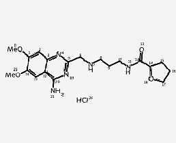 COc1cc2nc(CNCCCNC(=O)C3CCCO3)nc(N)c2cc1OC.Cl